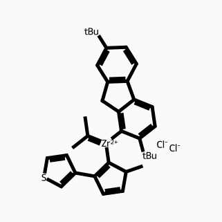 C[C](C)=[Zr+2]([C]1=C(c2ccsc2)C=CC1C)[c]1c(C(C)(C)C)ccc2c1Cc1cc(C(C)(C)C)ccc1-2.[Cl-].[Cl-]